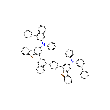 c1ccc(-c2cccc(N(c3ccccc3)c3cc(-c4ccc(-c5cc(-c6cc(N(c7ccccc7)c7cc(-c8ccccc8)c8ccccc8c7)cc7c6sc6ccccc67)cc6ccccc56)cc4)c4sc5ccccc5c4c3)c2)cc1